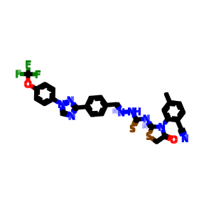 Cc1ccc(C#N)c(N2C(=O)CS/C2=N\C(=S)N/N=C/c2ccc(-c3ncn(-c4ccc(OC(F)(F)F)cc4)n3)cc2)c1